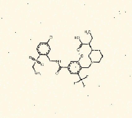 CCN(C(=O)O)[C@H]1CCCN(Cc2c(Cl)cc(C(=O)NCc3cc(Cl)ccc3S(=O)(=O)CC)cc2C(F)(F)F)C1